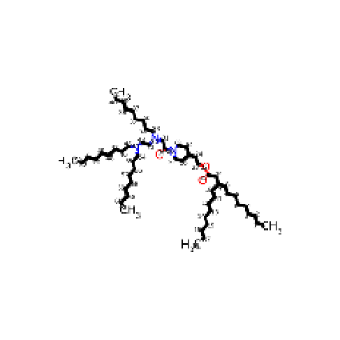 CCCCCCCCCC(CCCCCCCCC)CC(=O)OCCC1CCN(C(=O)CN(CCCCCCCCC)CCN(CCCCCCCCC)CCCCCCCCC)CC1